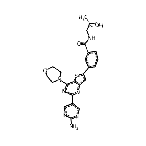 C[C@H](O)CNC(=O)c1cccc(-c2cc3nc(-c4cnc(N)nc4)nc(N4CCOCC4)c3s2)c1